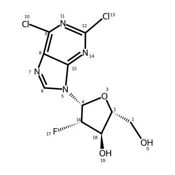 OC[C@H]1O[C@@H](n2cnc3c(Cl)nc(Cl)nc32)[C@@H](F)[C@@H]1O